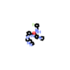 O=C(Nc1ccc(N2CCCCC2)cc1C(=O)N/N=C/c1cccc(F)c1)c1cccc(CN2CCc3nc4ncccc4cc3C2)c1